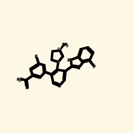 NC(=O)c1cc(F)cc(-c2cncc(-c3nc4c(F)cccc4[nH]3)c2N2CC[C@H](N)C2)c1